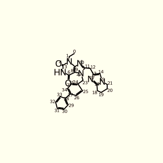 CCn1c(=O)[nH]c(=O)c2c1nc(Cc1cn3c(n1)CCCC3)n2Cc1ccc(-c2ccccc2)cc1